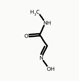 CNC(=O)C=NO